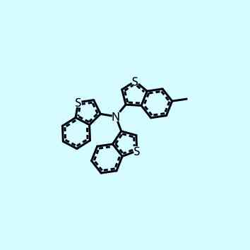 Cc1ccc2c(N(c3csc4ccccc34)c3csc4ccccc34)csc2c1